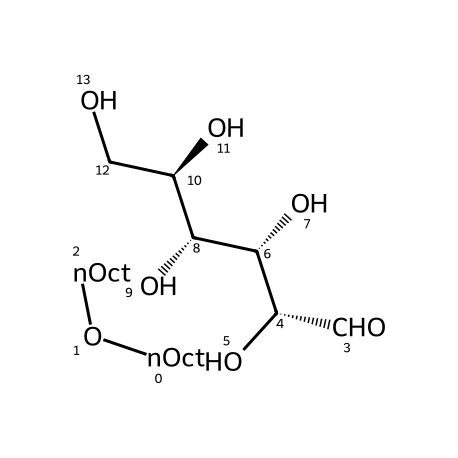 CCCCCCCCOCCCCCCCC.O=C[C@H](O)[C@@H](O)[C@H](O)[C@H](O)CO